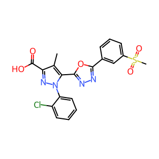 Cc1c(C(=O)O)nn(-c2ccccc2Cl)c1-c1nnc(-c2cccc(S(C)(=O)=O)c2)o1